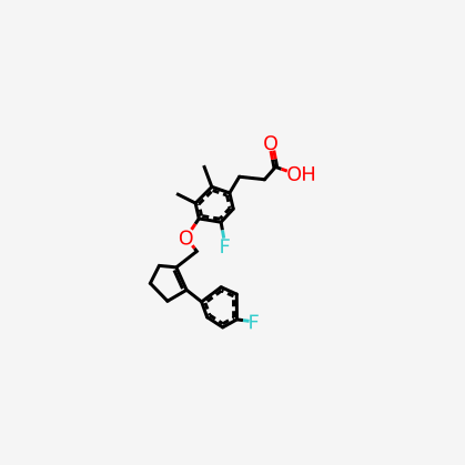 Cc1c(CCC(=O)O)cc(F)c(OCC2=C(c3ccc(F)cc3)CCC2)c1C